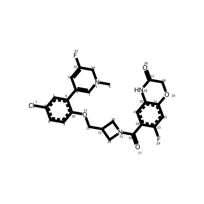 CN1C=C(c2cc(Cl)ccc2OCC2CN(C(=O)c3cc4c(cc3F)OCC(=O)N4)C2)C=C(F)C1